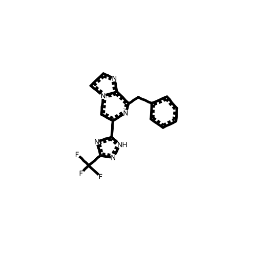 FC(F)(F)c1n[nH]c(-c2cn3ccnc3c(Cc3ccccc3)n2)n1